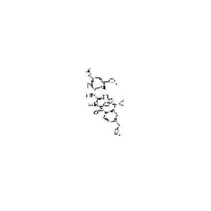 COCc1ccc(S(=O)(=O)NC(=O)Nc2nc(OC)cc(OC)n2)c(C(=O)OC)c1